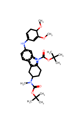 COC1=CC(Nc2ccc3c4c(n(C(=O)OC(C)(C)C)c3c2)CCC(N(C)C(=O)OC(C)(C)C)C4)=CCC1OC